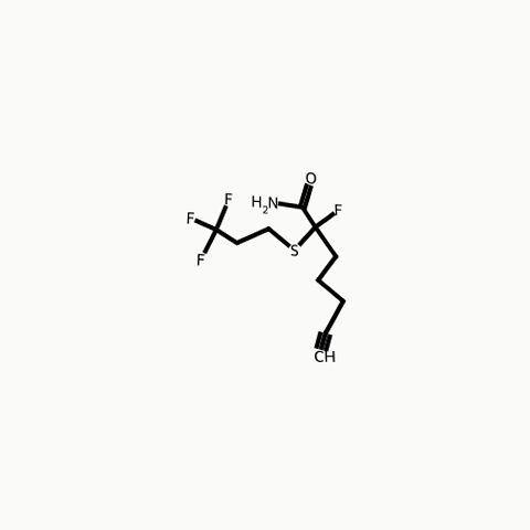 C#CCCCC(F)(SCCC(F)(F)F)C(N)=O